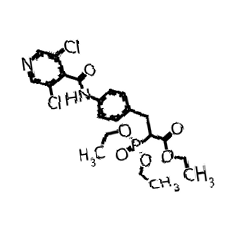 CCOC(=O)C(Cc1ccc(NC(=O)c2c(Cl)cncc2Cl)cc1)P(=O)(OCC)OCC